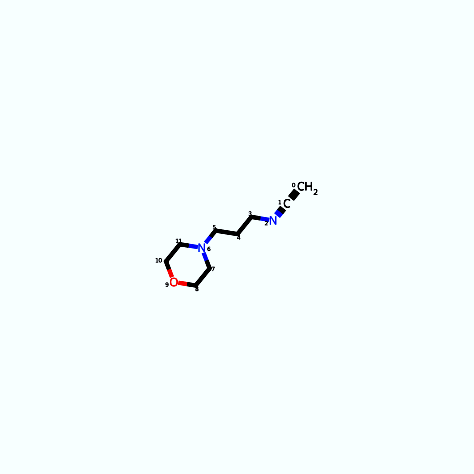 C=C=NCCCN1CCOCC1